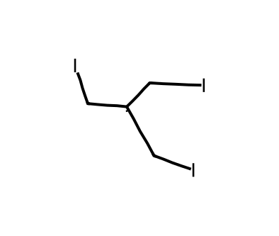 IC[C](CI)CI